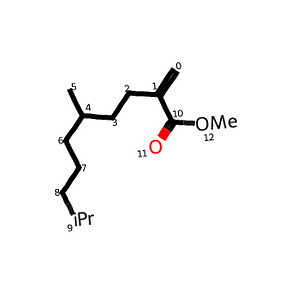 C=C(CCC(C)CCCC(C)C)C(=O)OC